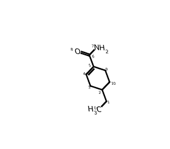 CCC1CC=C(C(N)=O)CC1